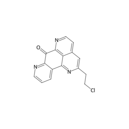 O=C1c2ncccc2-c2nc(CCCl)cc3ccnc1c23